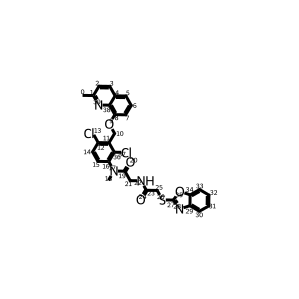 Cc1ccc2cccc(OCc3c(Cl)ccc(N(C)C(=O)CNC(=O)CSc4nc5ccccc5o4)c3Cl)c2n1